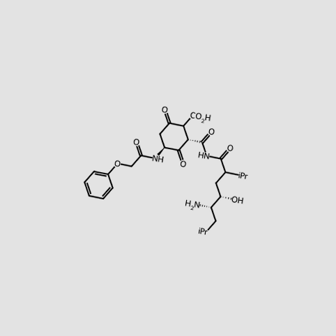 CC(C)C[C@H](N)[C@@H](O)CC(C(=O)NC(=O)[C@@H]1C(=O)[C@@H](NC(=O)COc2ccccc2)CC(=O)C1C(=O)O)C(C)C